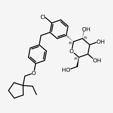 CCC1(COc2ccc(Cc3cc([C@H]4O[C@H](CO)C(O)C(O)[C@H]4O)ccc3Cl)cc2)CCCC1